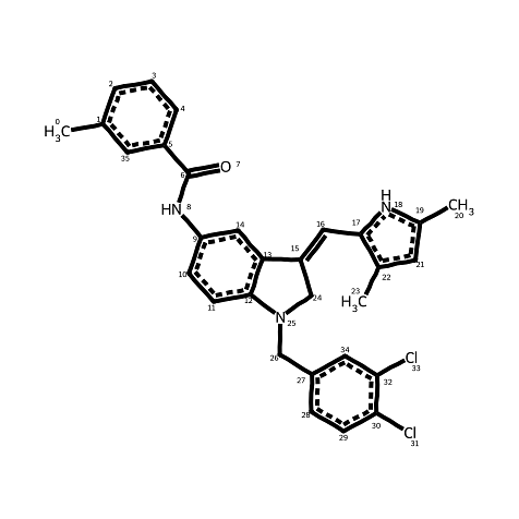 Cc1cccc(C(=O)Nc2ccc3c(c2)C(=Cc2[nH]c(C)cc2C)CN3Cc2ccc(Cl)c(Cl)c2)c1